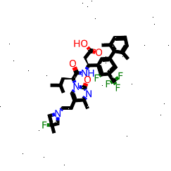 Cc1cccc(C)c1-c1cc([C@H](CC(=O)O)NC(=O)[C@H](CC(C)C)n2cc(CCN3CC(C)(F)C3)c(C)nc2=O)c(F)c(C(F)(F)F)c1